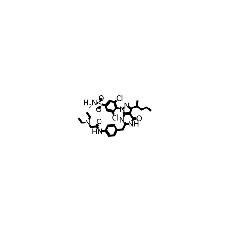 CCCC(C)c1nn(-c2c(Cl)cc(S(N)(=O)=O)cc2Cl)c2nc(Cc3ccc(NC(=O)CN(CC)CC)cc3)[nH]c(=O)c12